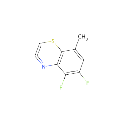 Cc1cc(F)c(F)c2c1SC=C=N2